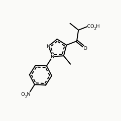 Cc1c(C(=O)C(C)C(=O)O)cnn1-c1ccc([N+](=O)[O-])cc1